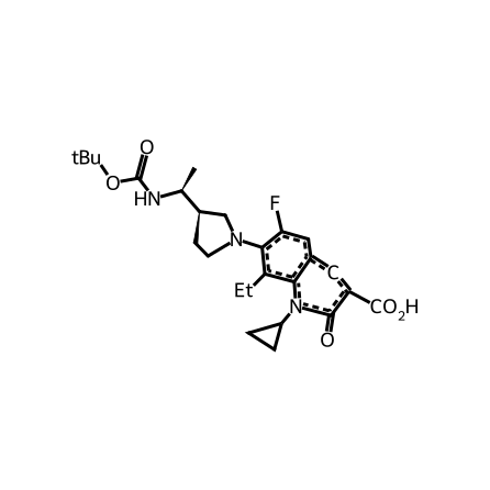 CCc1c(N2CC[C@@H]([C@H](C)NC(=O)OC(C)(C)C)C2)c(F)cc2cc(C(=O)O)c(=O)n(C3CC3)c12